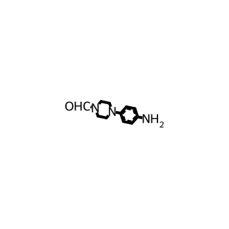 Nc1ccc(N2CCN(C=O)CC2)cc1